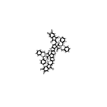 O=C1C(=CC2=Cc3sc4c5c(sc4c3C2(C(=O)OCc2ccccc2)C(=O)OCc2ccccc2)-c2sc(C=C3C(=O)c4cc(F)c(F)cc4C3=O)cc2C5(C(=O)OCc2ccccc2)C(=O)OCc2ccccc2)C(=O)c2cc(F)c(F)cc21